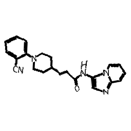 N#Cc1ccccc1N1CCC(CCC(=O)Nc2cnc3ccccn23)CC1